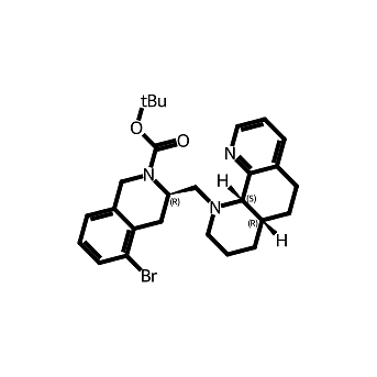 CC(C)(C)OC(=O)N1Cc2cccc(Br)c2C[C@@H]1CN1CCC[C@H]2CCc3cccnc3[C@H]21